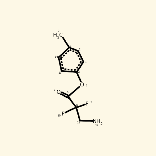 Cc1ccc(OC(=O)C(F)(F)CN)cc1